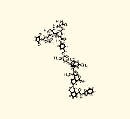 Cc1c(-c2ccc(N3CCc4cccc(C(=O)Nc5nc6ccccc6s5)c4C3)nc2C(=O)O)cnn1CC12CC3(C)CC(C)(C1)CC(OCCN(C)C(=O)OCc1ccc(NC(=O)[C@H](CCCNC(N)=O)NC(=O)C(NC(=O)[C@@H](CCN4C(=O)C=CC4=O)S(=O)(=O)O)C(C)C)cc1)(C3)C2